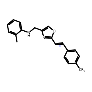 Cc1ccccc1NCc1coc(/C=C/c2ccc(C(F)(F)F)cc2)n1